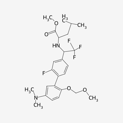 COCOc1ccc(N(C)C)cc1-c1ccc(C(NC(CC(C)C)C(=O)OC)C(F)(F)F)cc1F